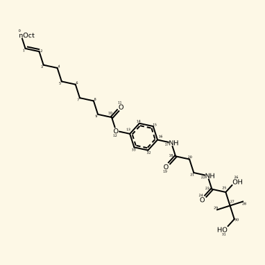 CCCCCCCCC=CCCCCCCCC(=O)Oc1ccc(NC(=O)CCNC(=O)C(O)C(C)(C)CO)cc1